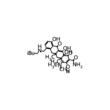 CCC(C)CNCc1ccc(O)c2c1C[C@@]1(C)C[C@@]3(C)[C@H](N(C)C)C(O)=C(C(N)=O)C(=O)[C@@]3(O)C(O)=C1C2=O